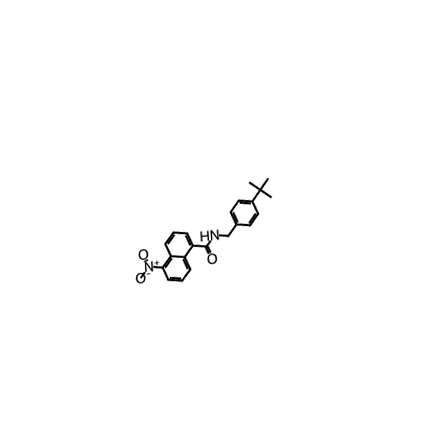 CC(C)(C)c1ccc(CNC(=O)c2cccc3c([N+](=O)[O-])cccc23)cc1